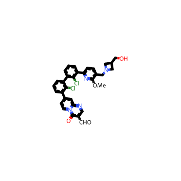 COc1nc(-c2cccc(-c3cccc(-c4ccn5c(=O)c(C=O)cnc5c4)c3Cl)c2Cl)ccc1CN1CC(CO)C1